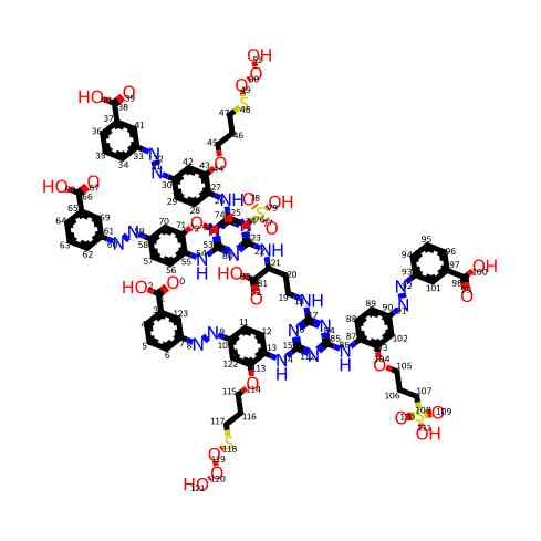 O=C(O)c1cccc(N=Nc2ccc(Nc3nc(NCCC(Nc4nc(Nc5ccc(N=Nc6cccc(C(=O)O)c6)cc5OCCCSOOO)nc(Nc5ccc(N=Nc6cccc(C(=O)O)c6)cc5OCCCS(=O)(=O)O)n4)C(=O)O)nc(Nc4ccc(N=Nc5cccc(C(=O)O)c5)cc4OCCCS(=O)(=O)O)n3)c(OCCCSOOO)c2)c1